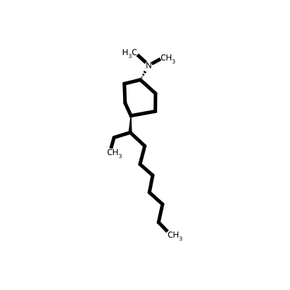 CCCCCCCC(CC)[C@H]1CC[C@H](N(C)C)CC1